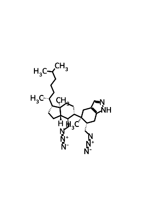 CC(C)CCC[C@@H](C)[C@H]1CC[C@H]2[C@H](CN=[N+]=[N-])[C@@H]([C@@]3(C)Cc4cn[nH]c4C[C@@H]3CN=[N+]=[N-])CC[C@]12C